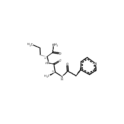 CCC[C@@H](NC(=O)[C@H](C)NC(=O)Cc1ccncc1)C(N)=O